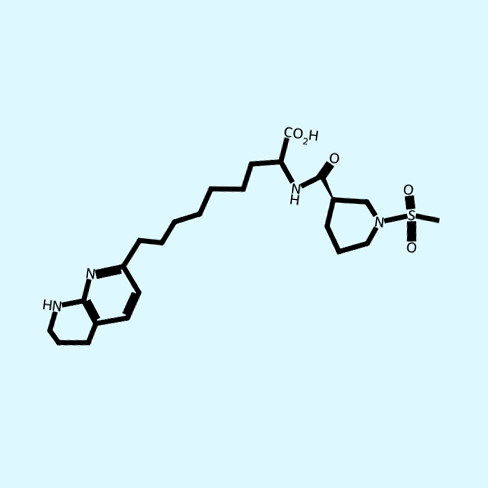 CS(=O)(=O)N1CCC[C@@H](C(=O)NC(CCCCCCCc2ccc3c(n2)NCCC3)C(=O)O)C1